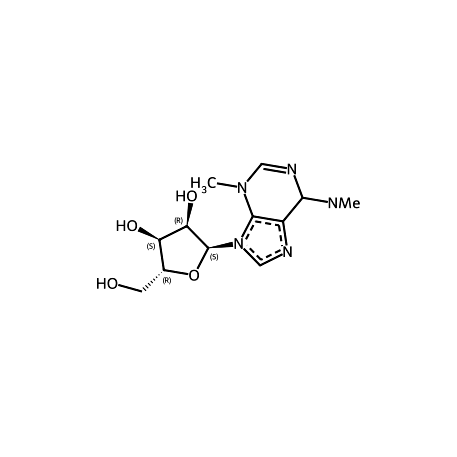 CNC1N=CN(C)c2c1ncn2[C@H]1O[C@H](CO)[C@@H](O)[C@H]1O